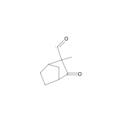 CC1([C]=O)C(=O)C2CCC1C2